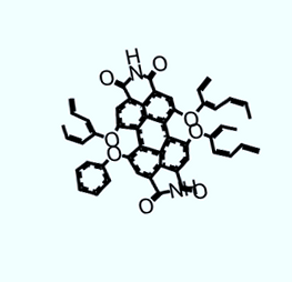 C=C/C=C\C(=C/C)Oc1cc2c3c(cc(Oc4ccccc4)c4c5c(OC(/C=C\C)=C/C=C)cc6c7c(cc(O/C(C=C)=C/C=C\C)c(c1c34)c75)C(=O)NC6=O)C(=O)NC2=O